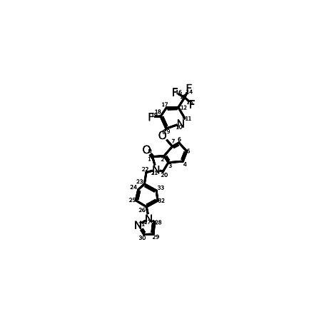 O=C1c2c(cccc2Oc2ncc(C(F)(F)F)cc2F)CN1Cc1ccc(-n2cccn2)cc1